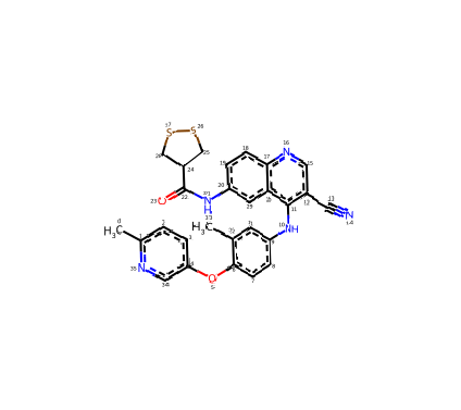 Cc1ccc(Oc2ccc(Nc3c(C#N)cnc4ccc(NC(=O)C5CSSC5)cc34)cc2C)cn1